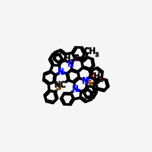 Cc1ccc(C)c(-c2c(-n3c4ccccc4c4ccccc43)c(-n3c4ccccc4c4ccc5c6ccccc6sc5c43)c(C#N)c(-n3c4ccccc4c4ccc5c6ccccc6sc5c43)c2-n2c3ccccc3c3ccccc32)c1C